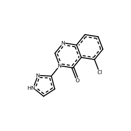 O=c1c2c(Cl)cccc2ncn1-c1cc[nH]n1